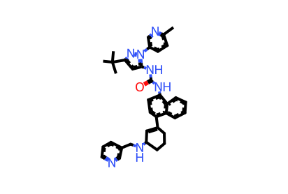 Cc1ccc(-n2nc(C(C)(C)C)cc2NC(=O)Nc2ccc(C3=CC(NCc4cccnc4)CCC3)c3ccccc23)cn1